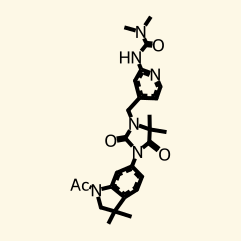 CC(=O)N1CC(C)(C)c2ccc(N3C(=O)N(Cc4ccnc(NC(=O)N(C)C)c4)C(C)(C)C3=O)cc21